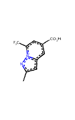 Cc1cc2cc(C(=O)O)cc(C(F)(F)F)n2n1